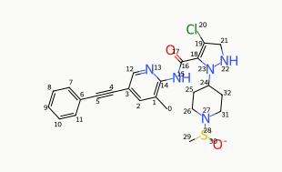 Cc1cc(C#Cc2ccccc2)cnc1NC(=O)C1=C(Cl)CNN1C1CCN([S+](C)[O-])CC1